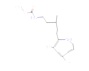 CCC1=C(\CCC(C)CCNC(=O)OC(C)(C)C)NC/C=C/C(C(F)(F)F)=C\1